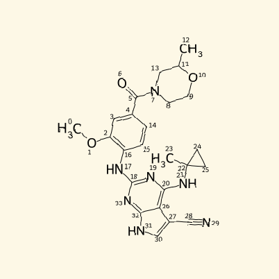 COc1cc(C(=O)N2CCOC(C)C2)ccc1Nc1nc(NC2(C)CC2)c2c(C#N)c[nH]c2n1